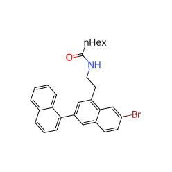 CCCCCCC(=O)NCCc1cc(-c2cccc3ccccc23)cc2ccc(Br)cc12